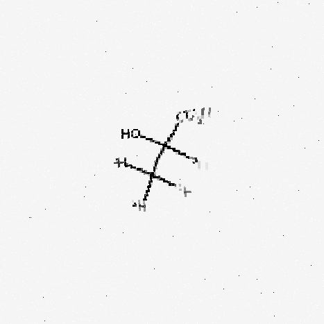 [2H]C([2H])([2H])C([2H])(O)C(=O)O